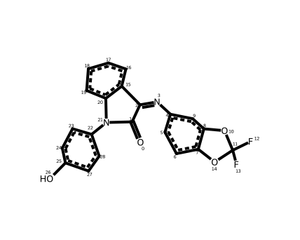 O=C1/C(=N\c2ccc3c(c2)OC(F)(F)O3)c2ccccc2N1c1ccc(O)cc1